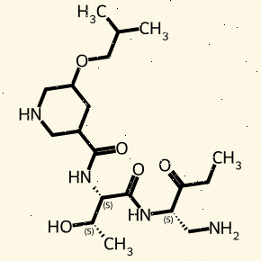 CCC(=O)[C@H](CN)NC(=O)[C@@H](NC(=O)C1CNCC(OCC(C)C)C1)[C@H](C)O